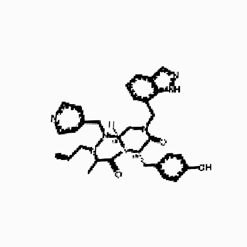 C=CCN1C(C)C(=O)N2[C@@H](Cc3ccc(O)cc3)C(=O)N(Cc3cccc4cn[nH]c34)C[C@@H]2N1Cc1ccncc1